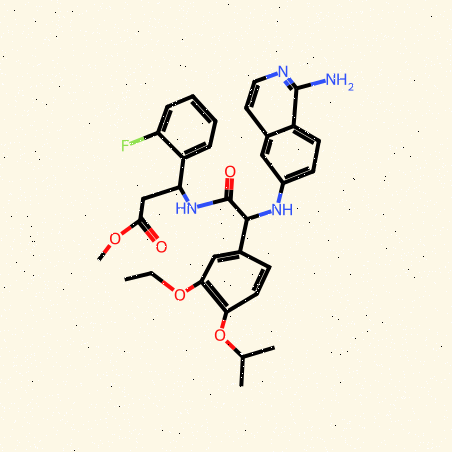 CCOc1cc(C(Nc2ccc3c(N)nccc3c2)C(=O)NC(CC(=O)OC)c2ccccc2F)ccc1OC(C)C